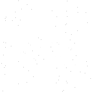 CCOC(=O)c1c[nH]c2ncc(-c3cnc4[nH]c(=O)n(CC5CCOCC5)c4c3)cc12